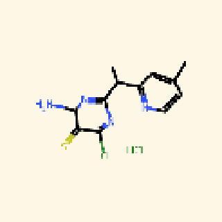 Cc1ccnc(C(C)C2=NC(N)C(=S)C(Cl)=N2)c1.Cl